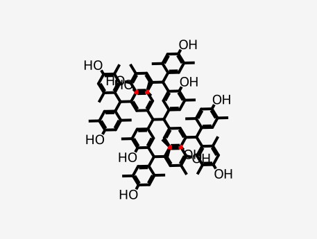 Cc1cc(C(c2cc(C)c(O)cc2C)c2cc(C(c3cc(C)c(O)c(C(c4cc(C)c(O)cc4C)c4cc(C)c(O)cc4C)c3)C(c3cc(C)c(O)c(C(c4cc(C)c(O)cc4C)c4cc(C)c(O)cc4C)c3)c3cc(C)c(O)c(C(c4cc(C)c(O)cc4C)c4cc(C)c(O)cc4C)c3)cc(C)c2O)c(C)cc1O